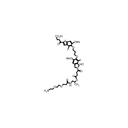 CCOC(=O)CCC(=O)c1cc2c(F)c(OCCCOc3c(OC)cc4c(c3F)CN(C(=O)CCC(=O)O[C@@H](C)CNC(=O)CCOCCOCCN)C4)c(OC)cc2s1.Cl